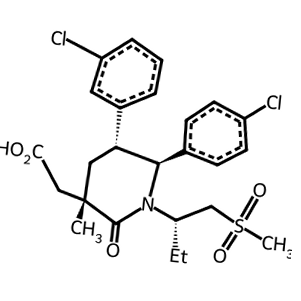 CC[C@@H](CS(C)(=O)=O)N1C(=O)[C@](C)(CC(=O)O)C[C@H](c2cccc(Cl)c2)[C@H]1c1ccc(Cl)cc1